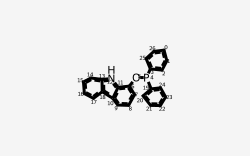 c1ccc(P(Oc2cccc3c2[nH]c2ccccc23)c2ccccc2)cc1